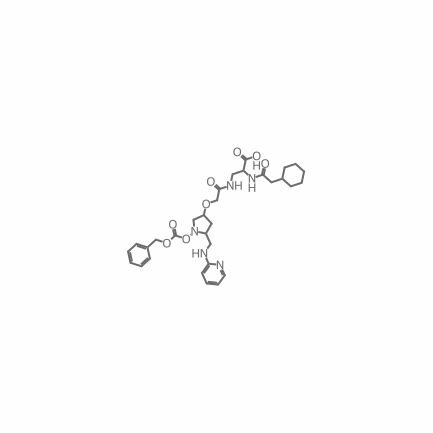 O=C(COC1CC(CNc2ccccn2)N(OC(=O)OCc2ccccc2)C1)NCC(NC(=O)CC1CCCCC1)C(=O)O